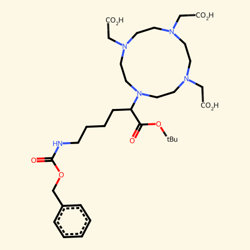 CC(C)(C)OC(=O)C(CCCCNC(=O)OCc1ccccc1)N1CCN(CC(=O)O)CCN(CC(=O)O)CCN(CC(=O)O)CC1